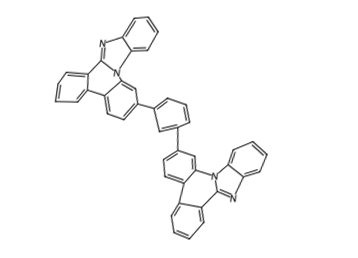 c1cc(-c2ccc3c4ccccc4c4nc5ccccc5n4c3c2)cc(-c2ccc3c4ccccc4c4nc5ccccc5n4c3c2)c1